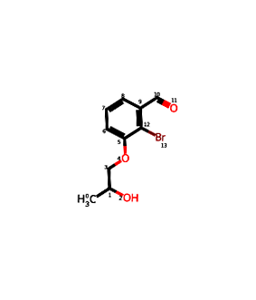 CC(O)COc1cccc(C=O)c1Br